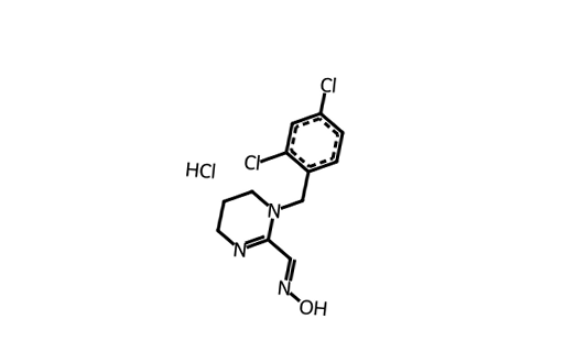 Cl.O/N=C/C1=NCCCN1Cc1ccc(Cl)cc1Cl